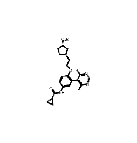 CO[C@@H]1CCN(CCOc2ccc(NC(=O)C3CC3)cc2-c2c(C)ncnc2C)C1